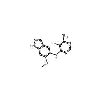 COc1cc2[nH]ncc2cc1Nc1ncnc(N)c1F